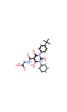 CC(C)(C)c1ccc(-n2c(=O)c(C(=O)NCC(=O)O)c(O)n(C3CCCCC3)c2=O)cc1